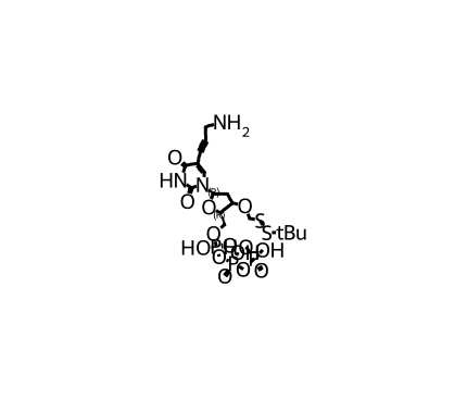 CC(C)(C)SSCOC1C[C@H](n2cc(C#CCN)c(=O)[nH]c2=O)O[C@@H]1COP(=O)(O)OP(=O)(O)OP(=O)(O)O